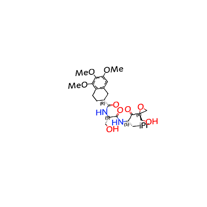 COc1cc2c(c(OC)c1OC)CC[C@@H](C(=O)N[C@@H](CO)C(=O)N[C@@H](CC(C)C)C(=O)[C@@]1(CO)CO1)C2